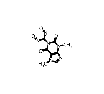 Cn1cnc2c1c(=O)n(C(N=O)N=O)c(=O)n2C